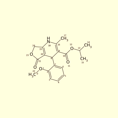 COc1ccccc1C1C(C(=O)OC(C)C)=C(C)NC2=C1C(=O)OC2